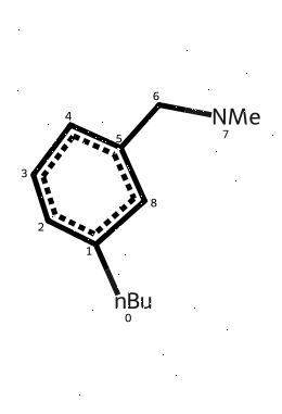 CCCCc1cccc(CNC)c1